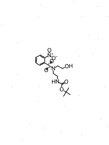 CC(C)(C)OC(=O)NCCN(CCO)S(=O)(=O)c1ccccc1[N+](=O)[O-]